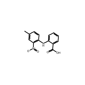 Cc1ccc(Nc2ccccc2C(=O)O)c([N+](=O)[O-])c1